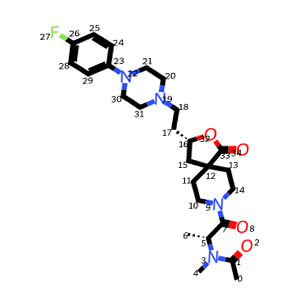 CC(=O)N(C)[C@H](C)C(=O)N1CCC2(CC1)C[C@H](CCN1CCN(c3ccc(F)cc3)CC1)OC2=O